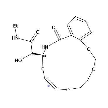 CCNC(=O)C(O)[C@@H]1C/C=C\CCCCCCc2ccccc2C(=O)N1